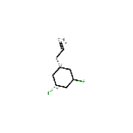 C=CC[C@@H]1CC(F)C[C@H](F)C1